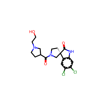 O=C(C1CCN(CCO)C1)N1CC[C@]2(C1)C(=O)Nc1cc(Cl)c(Cl)cc12